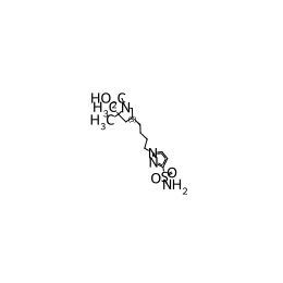 CC1(C)C[C@H](CCCCn2ccc(S(N)(=O)=O)n2)CN1C(=O)O